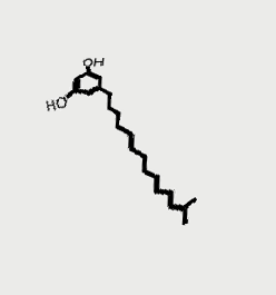 CC(C)CCCCCCCCCCCCc1cc(O)cc(O)c1